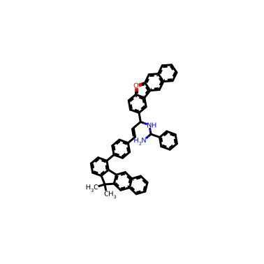 CC1(C)c2cc3ccccc3cc2-c2c(-c3ccc(/C=C/C(NC(N)c4ccccc4)c4ccc5oc6cc7ccccc7cc6c5c4)cc3)cccc21